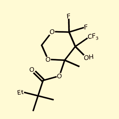 CCC(C)(C)C(=O)OC1(C)OCOC(F)(F)C1(O)C(F)(F)F